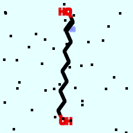 O/C=C/CCCCCCCCO